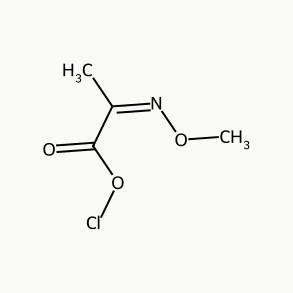 CON=C(C)C(=O)OCl